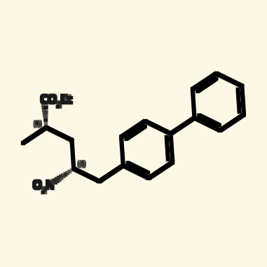 CCOC(=O)[C@@H](C)C[C@H](Cc1ccc(-c2ccccc2)cc1)[N+](=O)[O-]